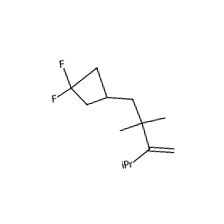 C=C(C(C)C)C(C)(C)CC1CC(F)(F)C1